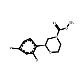 CC(C)(C)OC(=O)N1CCO[C@@H](c2ccc(Br)cc2F)C1